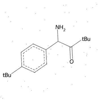 CC(C)(C)C(=O)C(N)c1ccc(C(C)(C)C)cc1